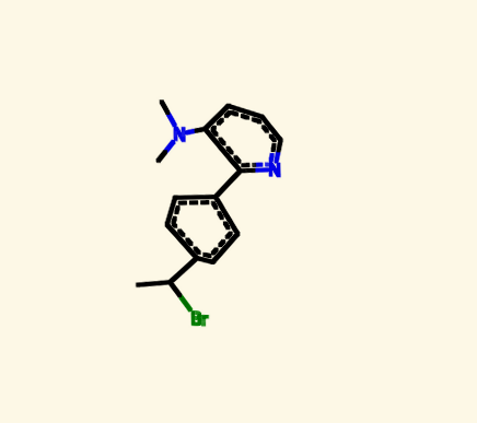 CC(Br)c1ccc(-c2ncccc2N(C)C)cc1